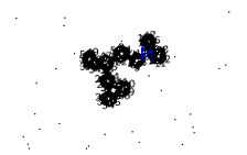 c1cc(-c2cccc(-n3c4ccccc4c4ccccc43)c2)cc(-c2cc(-c3ccc4c5ccccc5c5ccccc5c4c3)c3c(c2)-c2ccccc2C3)c1